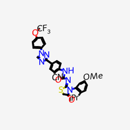 COc1ccc(C(C)C)c(N2C(=O)CSC2=NC(=O)Nc2ccc(-c3ncn(-c4ccc(OC(F)(F)F)cc4)n3)cc2C#N)c1